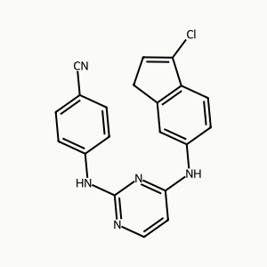 N#Cc1ccc(Nc2nccc(Nc3ccc4c(c3)CC=C4Cl)n2)cc1